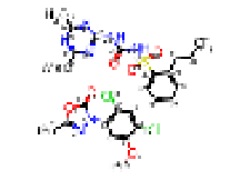 CC(C)Oc1cc(-n2nc(C(C)(C)C)oc2=O)c(Cl)cc1Cl.COc1nc(C)nc(NC(=O)NS(=O)(=O)c2ccccc2CCC(F)(F)F)n1